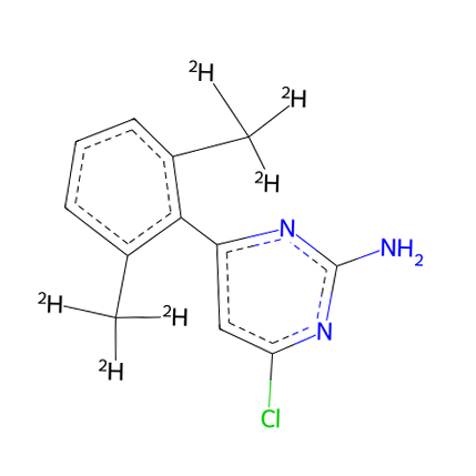 [2H]C([2H])([2H])c1cccc(C([2H])([2H])[2H])c1-c1cc(Cl)nc(N)n1